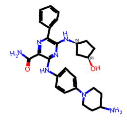 NC(=O)c1nc(-c2ccccc2)c(N[C@H]2CC[C@@H](O)C2)nc1Nc1ccc(N2CCC(N)CC2)cc1